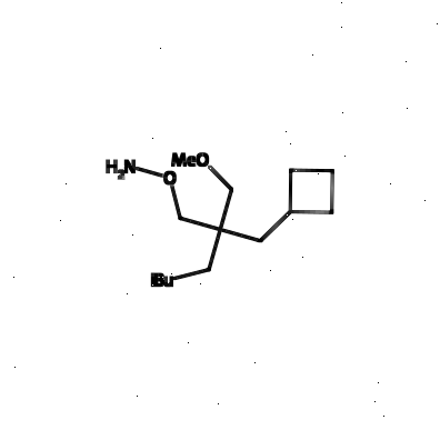 CCC(C)CC(COC)(CON)CC1CCC1